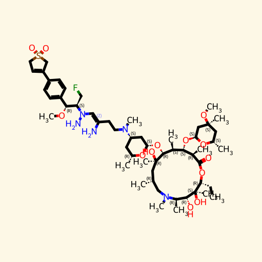 CC[C@H]1OC(=O)[C@H](C)[C@@H](O[C@H]2C[C@@](C)(OC)C[C@H](C)O2)[C@H](C)[C@@H](O[C@H]2C[C@@H](N(C)CC/C(N)=C/N(N)[C@H](CF)[C@H](OC)c3ccc(C4=CCS(=O)(=O)C4)cc3)C[C@@H](C)O2)[C@](C)(O)C[C@@H](C)CN(C)[C@H](C)[C@@H](O)[C@]1(C)O